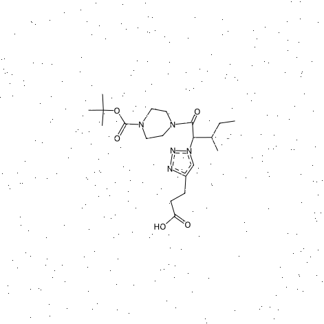 CCC(C)C(C(=O)N1CCN(C(=O)OC(C)(C)C)CC1)n1cc(CCC(=O)O)nn1